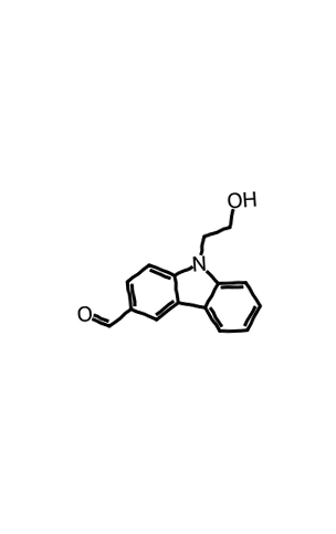 O=Cc1ccc2c(c1)c1ccccc1n2CCO